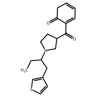 CCC(Cc1ccsc1)N1CCC(C(=O)C2=CC=CCC2=O)C1